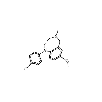 COc1ccc2c(c1)CN(C)CCN2c1ccc(F)cc1